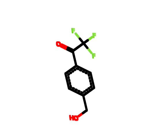 O=C(c1ccc(CO)cc1)C(F)(F)F